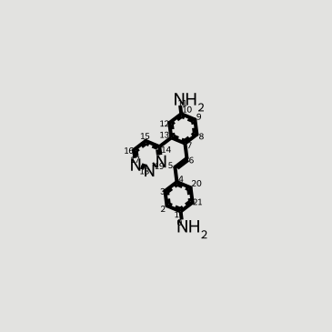 Nc1ccc(C=Cc2ccc(N)cc2-c2ccnnn2)cc1